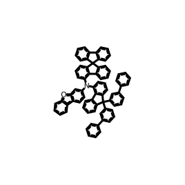 c1ccc(-c2cccc(C3(c4cccc(-c5ccccc5)c4)c4ccccc4-c4c(N(c5ccc6c(c5)oc5ccccc56)c5cccc6c5-c5ccccc5C65c6ccccc6-c6ccccc65)cccc43)c2)cc1